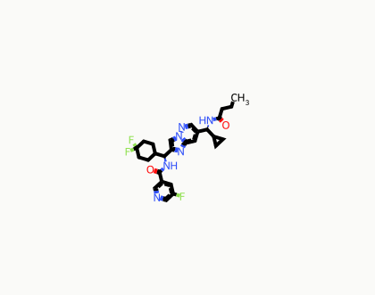 CCCC(=O)N[C@@H](c1cnn2cc([C@@H](NC(=O)c3cncc(F)c3)C3CCC(F)(F)CC3)nc2c1)C1CC1